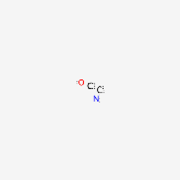 [C].[C].[N].[O]